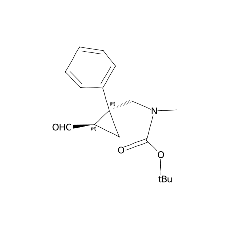 CN(C[C@]1(c2ccccc2)C[C@H]1C=O)C(=O)OC(C)(C)C